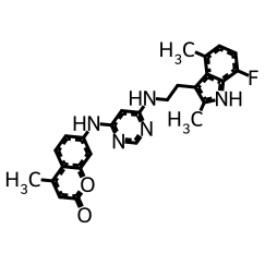 Cc1[nH]c2c(F)ccc(C)c2c1CCNc1cc(Nc2ccc3c(C)cc(=O)oc3c2)ncn1